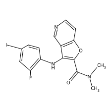 CN(C)C(=O)c1oc2ccncc2c1Nc1ccc(I)cc1F